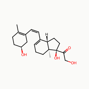 CC1=C(/C=C\C2=CCC[C@@]3(C)[C@H]2CC[C@]3(O)C(=O)CO)C[C@@H](O)CC1